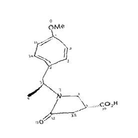 COc1ccc([C@H](C)N2C[C@H](C(=O)O)CC2=O)cc1